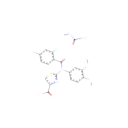 CNC(N)=O.COc1ccc(N(C(=O)c2ccc(Cl)cc2Cl)c2nc(C(=O)O)cs2)cc1OC